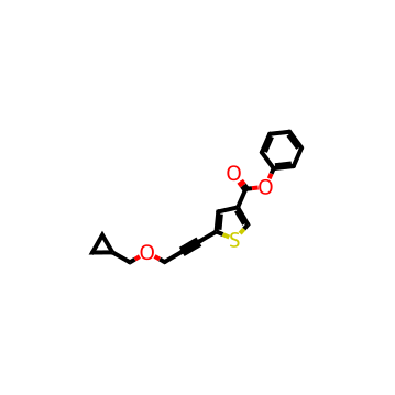 O=C(Oc1ccccc1)c1csc(C#CCOCC2CC2)c1